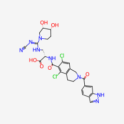 N#C/N=C(\NC[C@H](NC(=O)c1c(Cl)cc2c(c1Cl)CCN(C(=O)c1ccc3cn[nH]c3c1)C2)C(=O)O)N1CC[C@@H](O)[C@@H](O)C1